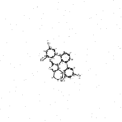 S=c1sc2c(n1-c1c(-c3cc(Br)cc(Br)c3)cccc1-c1cc(Br)cc(Br)c1)CCCC2